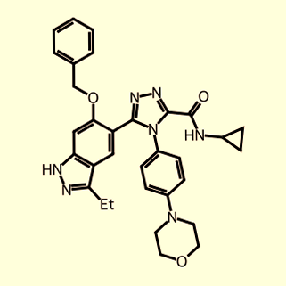 CCc1n[nH]c2cc(OCc3ccccc3)c(-c3nnc(C(=O)NC4CC4)n3-c3ccc(N4CCOCC4)cc3)cc12